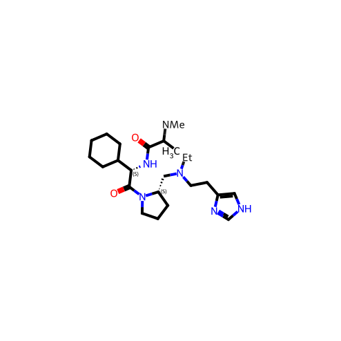 CCN(CCc1c[nH]cn1)C[C@@H]1CCCN1C(=O)[C@@H](NC(=O)C(C)NC)C1CCCCC1